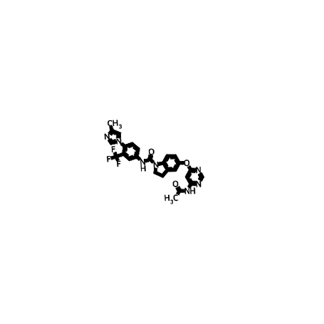 CC(=O)Nc1cc(Oc2ccc3c(c2)CCN3C(=O)Nc2ccc(-n3cnc(C)c3)c(C(F)(F)F)c2)ncn1